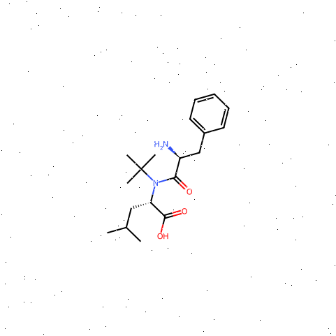 CC(C)C[C@@H](C(=O)O)N(C(=O)[C@@H](N)Cc1ccccc1)C(C)(C)C